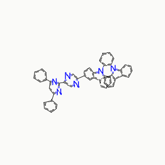 c1ccc(-c2cc(-c3ccccc3)nc(-c3cnc(-c4ccc5c(c4)c4ccccc4n5-c4ccccc4-n4c5ccccc5c5ccccc54)cn3)n2)cc1